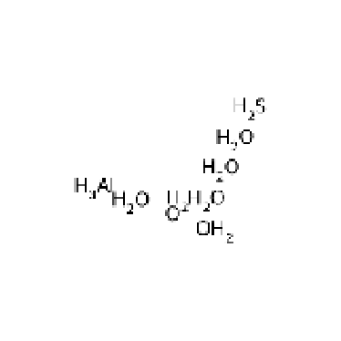 O.O.O.O.O.O.S.[AlH3]